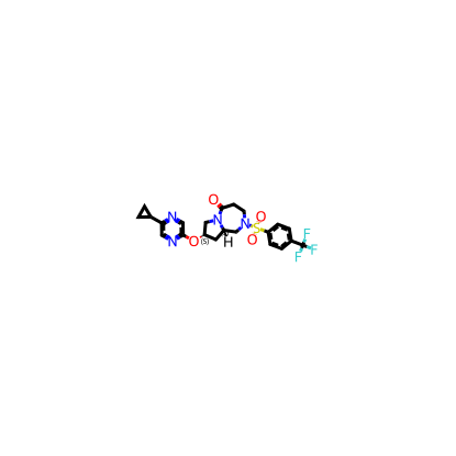 O=C1CCN(S(=O)(=O)c2ccc(C(F)(F)F)cc2)C[C@@H]2C[C@H](Oc3cnc(C4CC4)cn3)CN12